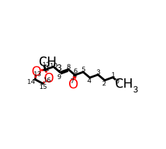 CCCCCCC(=O)C=CCC1(C)OCCO1